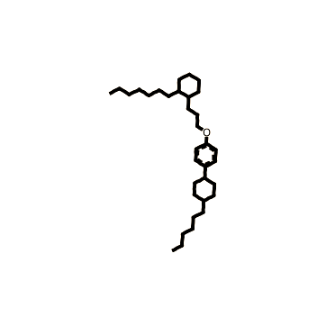 CCCCCCCC1CCCCC1CCCOc1ccc(C2CCC(CCCCCC)CC2)cc1